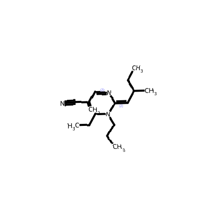 C=C(C#N)/C=N\C(=C/C(C)CC)N(CCC)CCC